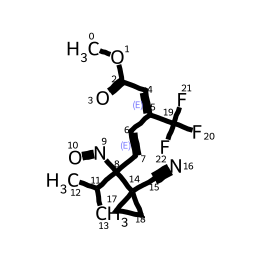 COC(=O)/C=C(\C=C\C(N=O)(C(C)C)C1(C#N)CC1)C(F)(F)F